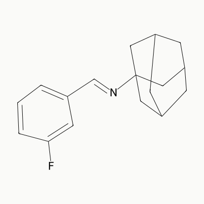 Fc1cccc(/C=N/C23CC4CC(CC(C4)C2)C3)c1